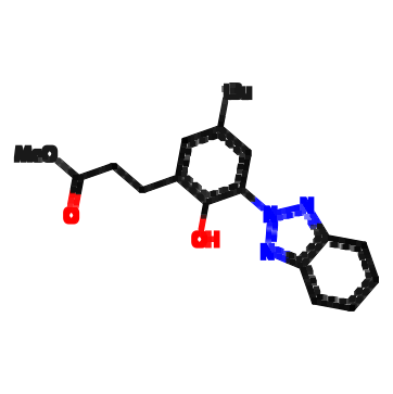 COC(=O)CCc1cc(C(C)(C)C)cc(-n2nc3ccccc3n2)c1O